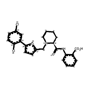 O=C(O)c1ccccc1NC(=O)[C@@H]1CCCCN1Cc1ccc(-c2cc(Cl)ccc2Cl)o1